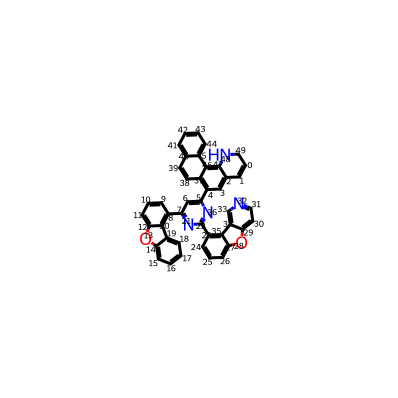 C1=Cc2cc(-c3cc(-c4cccc5oc6ccccc6c45)nc(-c4cccc5oc6ccncc6c45)n3)c3ccc4ccccc4c3c2NC1